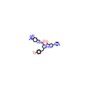 COc1ccc(CC2CC(C(=O)NCC3=Cc4nnn(C)c4CC3)N(C(=O)C3CC(n4ccnc4)CN3)C2)cc1